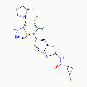 O=C(Nc1cn2cc(-c3c(Cl)c(F)c(N4CCCC4=O)c4[nH]ncc34)ccc2n1)[C@@H]1C[C@@H]1F